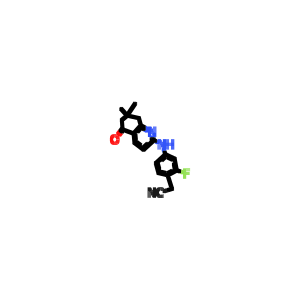 CC1(C)CC(=O)c2ccc(Nc3ccc(CC#N)c(F)c3)nc2C1